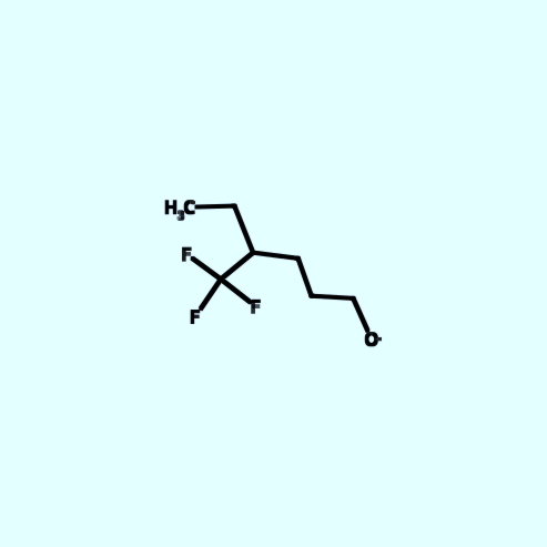 CCC(CCC[O])C(F)(F)F